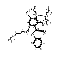 CCCCOc1cc(Br)c(N(C)C(C)C)c(C)c1C(=O)Oc1ccccc1